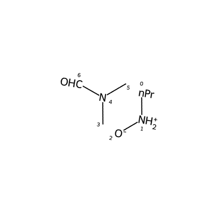 CCC[NH2+][O-].CN(C)C=O